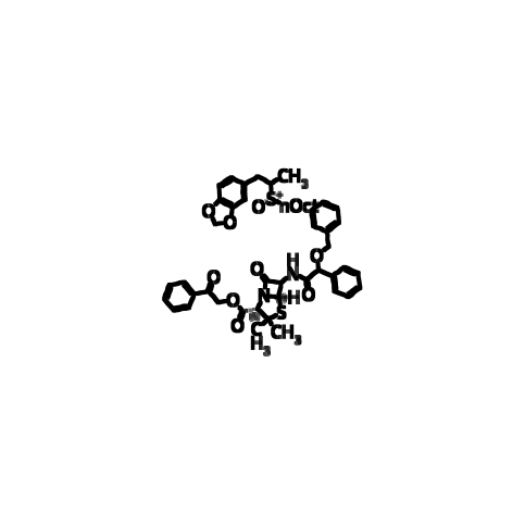 CC1(C)S[C@@H]2C(NC(=O)C(OCc3ccccc3)c3ccccc3)C(=O)N2[C@H]1C(=O)OCC(=O)c1ccccc1.CCCCCCCC[S+]([O-])C(C)Cc1ccc2c(c1)OCO2